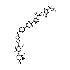 Cc1nc(C2CC3(C2)CN(Cc2ccc(-c4cnc(-c5cc(C(=O)NCc6nc(C(C)(C)C(F)(F)F)n[nH]6)on5)nc4)c(F)c2)C3)c(F)cc1N1CCC(=O)NC1=O